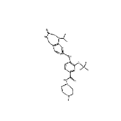 CC(C)N1CC(=O)NCc2cnc(Nc3ccc(C(=O)NC4CCN(C)CC4)cc3OC(F)(F)F)nc21